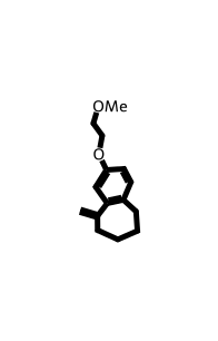 C=C1CCCCc2ccc(OCCOC)cc21